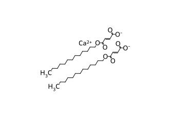 CCCCCCCCCCCCCOC(=O)C=CC(=O)[O-].CCCCCCCCCCCCCOC(=O)C=CC(=O)[O-].[Ca+2]